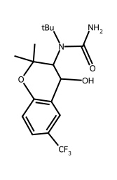 CC1(C)Oc2ccc(C(F)(F)F)cc2C(O)C1N(C(N)=O)C(C)(C)C